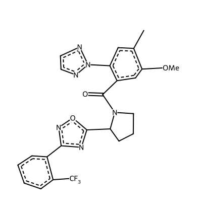 COc1cc(C(=O)N2CCCC2c2nc(-c3ccccc3C(F)(F)F)no2)c(-n2nccn2)cc1C